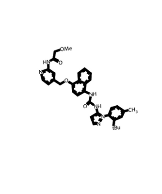 COCC(=O)Nc1cc(COc2ccc(NC(=O)Nc3ccnn3-c3ccc(C)cc3C(C)(C)C)c3ccccc23)ccn1